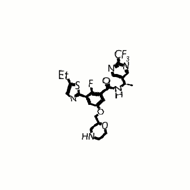 CCc1cnc(-c2cc(OCC3CNCCO3)cc(C(=O)N[C@H](C)c3cnc(C(F)(F)F)nc3)c2F)s1